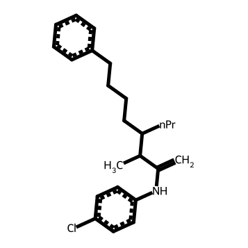 C=C(Nc1ccc(Cl)cc1)C(C)C(CCC)CCCCc1ccccc1